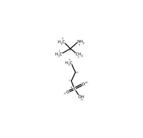 CC(C)(C)N.CCCS(=O)(=O)O